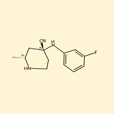 C[C@@H]1C[C@](C#N)(Nc2cccc(F)c2)CCN1